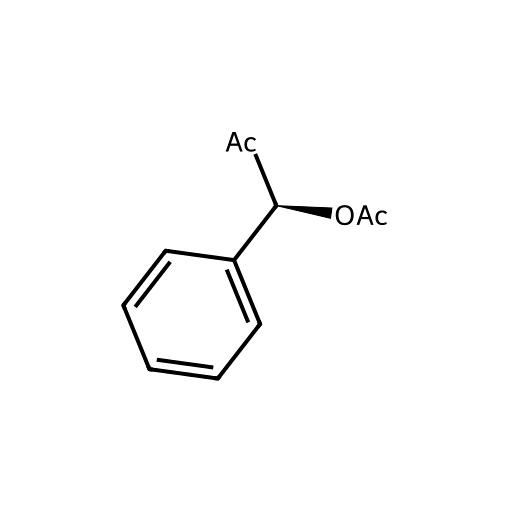 CC(=O)O[C@H](C(C)=O)c1ccccc1